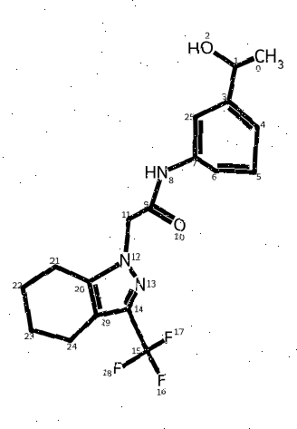 CC(O)c1cccc(NC(=O)Cn2nc(C(F)(F)F)c3c2CCCC3)c1